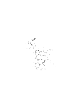 CCCCOC(=O)N1CC(O)C(N(C)c2nc(OC[C@@]34CCCN3C[C@H](F)C4)nc3c(F)c(-c4cccc5cccc(Cl)c45)ncc23)C1